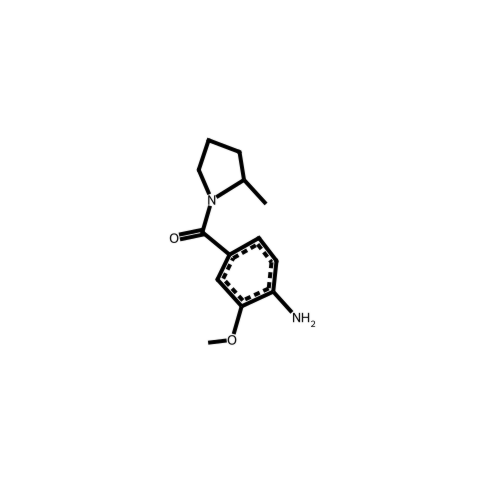 COc1cc(C(=O)N2CCCC2C)ccc1N